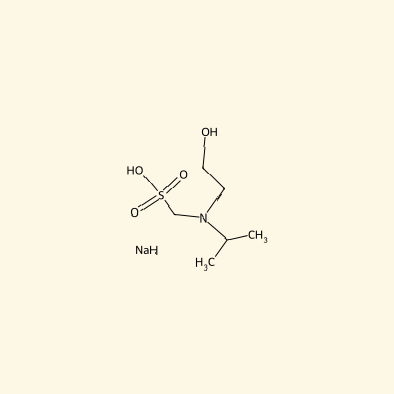 CC(C)N(CCO)CS(=O)(=O)O.[NaH]